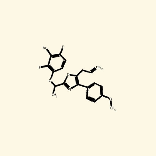 C=CCc1oc(C(C)Oc2ccc(F)c(C(C)=O)c2F)nc1-c1ccc(OC(F)(F)F)cc1